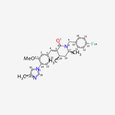 COc1cc(/C=C2/C(=O)N(Cc3ccc(F)cc3)[C@@H](C)C[C@H]2C)ccc1-n1cnc(C)c1